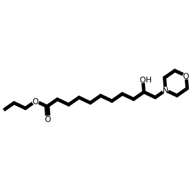 CCCOC(=O)CCCCCCCCC(O)CN1CCOCC1